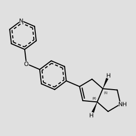 C1=C(c2ccc(Oc3ccncc3)cc2)C[C@@H]2CNC[C@H]12